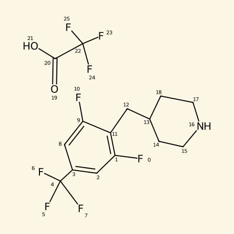 Fc1cc(C(F)(F)F)cc(F)c1CC1CCNCC1.O=C(O)C(F)(F)F